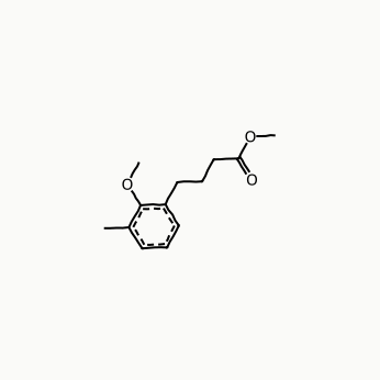 COC(=O)CCCc1cccc(C)c1OC